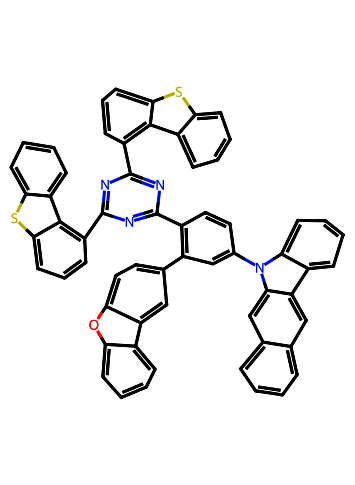 c1ccc2cc3c(cc2c1)c1ccccc1n3-c1ccc(-c2nc(-c3cccc4sc5ccccc5c34)nc(-c3cccc4sc5ccccc5c34)n2)c(-c2ccc3oc4ccccc4c3c2)c1